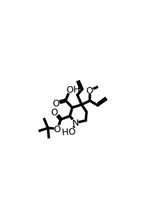 C=CCC1(C(C=C)OC)CCN(O)C(C(=O)OC(C)(C)C)C1C(=O)O